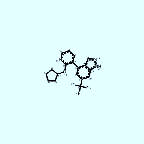 FC(F)(F)c1cc(-c2cccnc2OC2CCCC2)c2cn[nH]c2c1